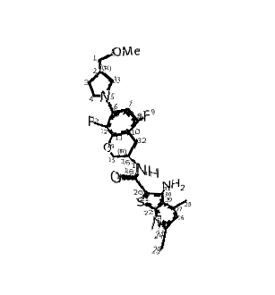 COC[C@@H]1CCN(c2cc(F)c3c(c2F)OC[C@H](NC(=O)c2sc4nc(C)cc(C)c4c2N)C3)C1